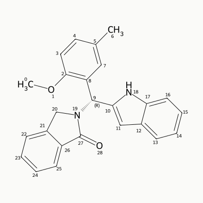 COc1ccc(C)cc1[C@H](c1cc2ccccc2[nH]1)N1Cc2ccccc2C1=O